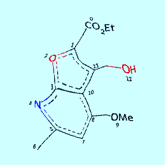 CCOC(=O)c1oc2nc(C)cc(OC)c2c1O